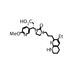 CCc1cc2c(nc1CCCN1CCN([C@@H](CC(=O)O)c3ccc(OC)nc3)C1=O)NCCC2